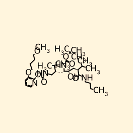 CCCCNC(=O)[C@@H](C[C@H](O)[C@H](C[C@H](CNC(=O)Oc1ncccc1OCCCCOC)C(C)C)NC(=O)OC(C)(C)C)C(C)C